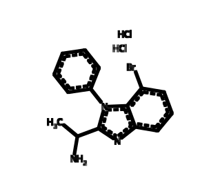 CC(N)c1nc2cccc(Br)c2n1-c1ccccc1.Cl.Cl